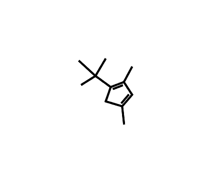 CC1=CC(C)=C(C(C)(C)C)C1